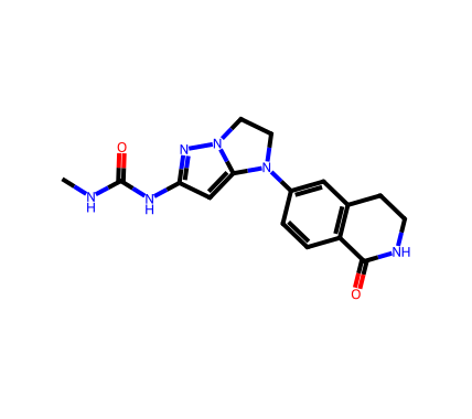 CNC(=O)Nc1cc2n(n1)CCN2c1ccc2c(c1)CCNC2=O